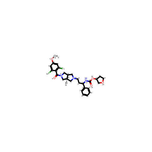 COc1cc(F)c(C(=O)N2CC3CN(CCC(NC(=O)OC4CCOC4)c4ccccc4)C[C@H]3C2)c(F)c1